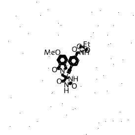 CCS(=O)(=O)NC(=O)c1ccc(C#C[C@]2(CN3Cc4ccc(OC)cc4C3=O)NC(=O)NC2=O)cc1